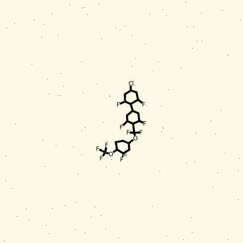 FC1CC(Cl)CC(F)C1C1CC(F)C(C(F)(F)OC2CCC(OC(F)(F)F)[C@H](F)C2)C(F)C1